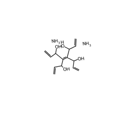 C=CC(O)C(=C(C(O)C=C)C(O)C=C)C(O)C=C.N.N